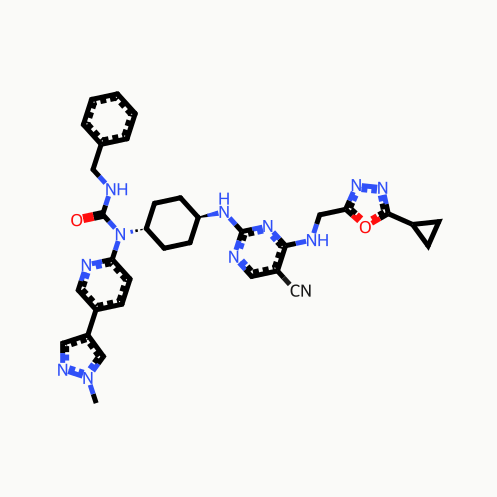 Cn1cc(-c2ccc(N(C(=O)NCc3ccccc3)[C@H]3CC[C@H](Nc4ncc(C#N)c(NCc5nnc(C6CC6)o5)n4)CC3)nc2)cn1